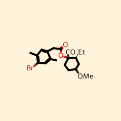 CCOC(=O)C1(OC(=O)Cc2cc(C)c(Br)cc2C)CCC(OC)CC1